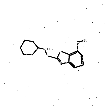 CCOc1cccc2nc(SNC3CCCCC3)sc12